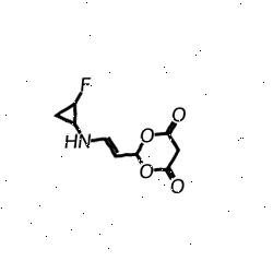 O=C1CC(=O)OC(/C=C/NC2CC2F)O1